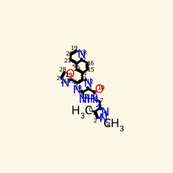 Cc1cn(C)nc1CNC(=O)c1nc(-c2ccc3ncccc3c2)c(-c2ncco2)nc1N